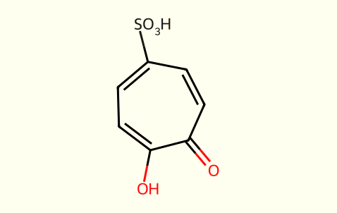 O=c1ccc(S(=O)(=O)O)ccc1O